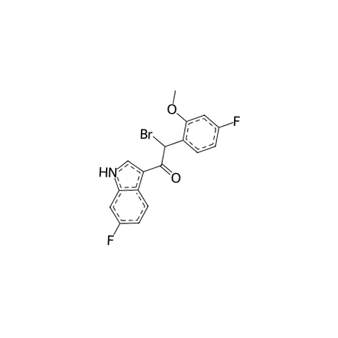 COc1cc(F)ccc1C(Br)C(=O)c1c[nH]c2cc(F)ccc12